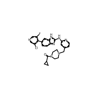 O=C(C1CC1)N1CCN(Cc2ccnc(Nc3nc4ccc(-c5c(F)cncc5Cl)cc4[nH]3)c2)CC1